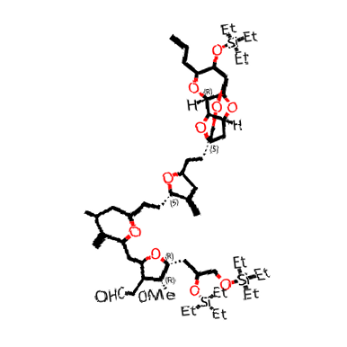 C=CCC1O[C@@H]2C3O[C@@H]4C[C@](CCC5CC(=C)[C@H](CCC6CC(C)C(=C)C(CC7O[C@H](CC(CO[Si](CC)(CC)CC)O[Si](CC)(CC)CC)[C@H](OC)C7CC=O)O6)O5)(OC3C1O[Si](CC)(CC)CC)OC24